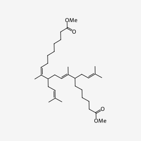 COC(=O)CCCCCCC=C(C)C(CC=C(C)C)CC=C(C)C(CC=C(C)C)CCCCCC(=O)OC